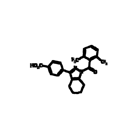 O=C(O)c1ccc(-c2nn(C(=O)c3c(C(F)(F)F)cccc3C(F)(F)F)c3c2CCCC3)cc1